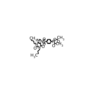 CCCCn1c(=O)c2c(ncn2S(=O)(=O)c2ccc(N(OC(C)=O)C(C)=O)cc2)n(CCCC)c1=O